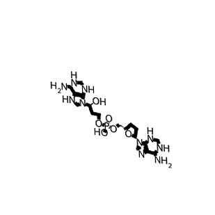 NC1NCNC2=C1NCN2[C@H](O)CCOP(=O)(O)OC[C@@H]1CC[C@H](n2cnc3c2NCNC3N)O1